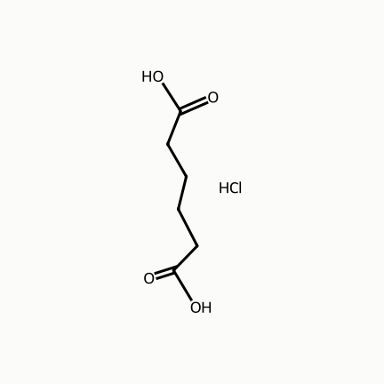 Cl.O=C(O)CCCCC(=O)O